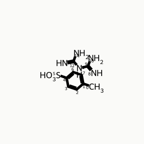 Cc1ccc(S(=O)(=O)O)cc1.N=C(N)NC(=N)N